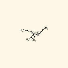 CCCCCCC(F)(F)C(F)(F)C(CCCCC)OC(CCCCC)C(F)(F)C(F)(F)CCCCCC